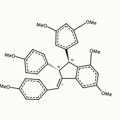 COc1ccc(/C=C2/c3cc(OC)cc(OC)c3[C@H](c3cc(OC)cc(OC)c3)[C@H]2c2ccc(OC)cc2)cc1